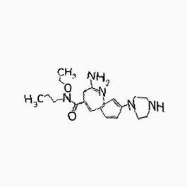 CCCN(OCC)C(=O)C1=Cc2ccc(N3CCNCC3)cc2N=C(N)C1